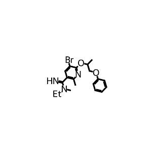 CCN(C)C(=N)c1cc(Br)c(OC(C)COc2ccccc2)nc1C